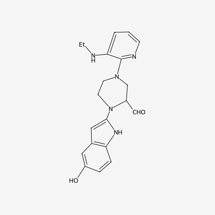 CCNc1cccnc1N1CCN(c2cc3cc(O)ccc3[nH]2)C(C=O)C1